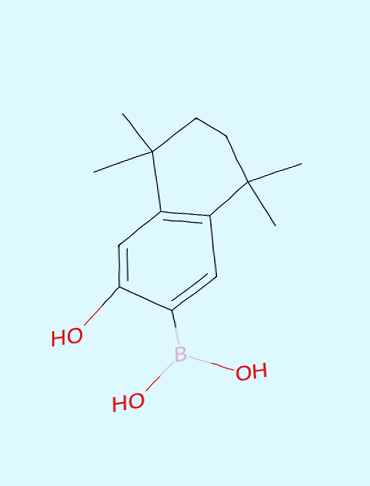 CC1(C)CCC(C)(C)c2cc(B(O)O)c(O)cc21